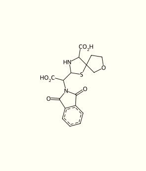 O=C(O)C(C1NC(C(=O)O)C2(CCOC2)S1)N1C(=O)c2ccccc2C1=O